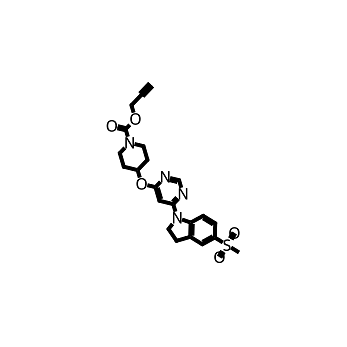 C#CCOC(=O)N1CCC(Oc2cc(N3CCc4cc(S(C)(=O)=O)ccc43)ncn2)CC1